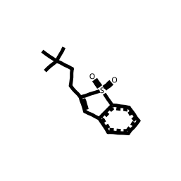 CC(C)(C)CCC1=Cc2ccccc2S1(=O)=O